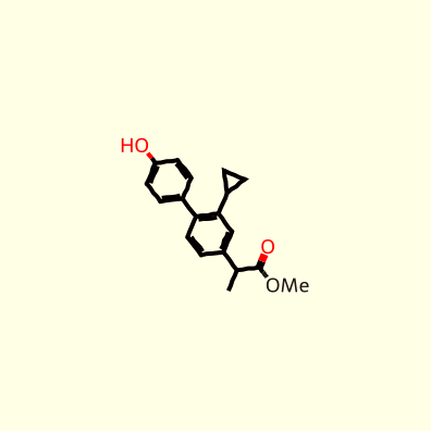 COC(=O)C(C)c1ccc(-c2ccc(O)cc2)c(C2CC2)c1